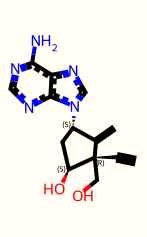 C#C[C@]1(CO)C(=C)[C@@H](n2cnc3c(N)ncnc32)C[C@@H]1O